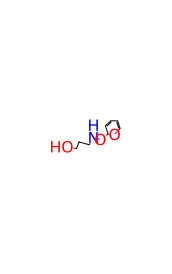 OCCCNOC1C=CC=CO1